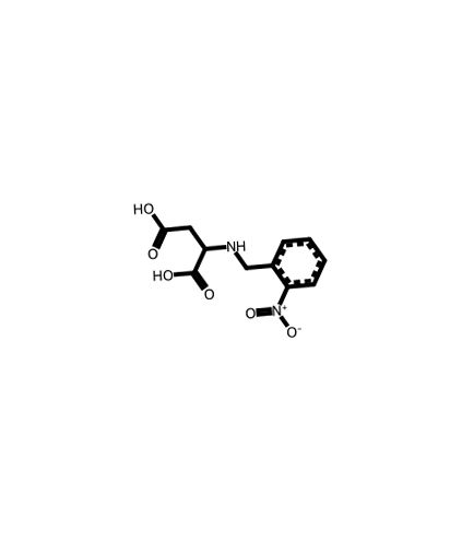 O=C(O)CC(NCc1ccccc1[N+](=O)[O-])C(=O)O